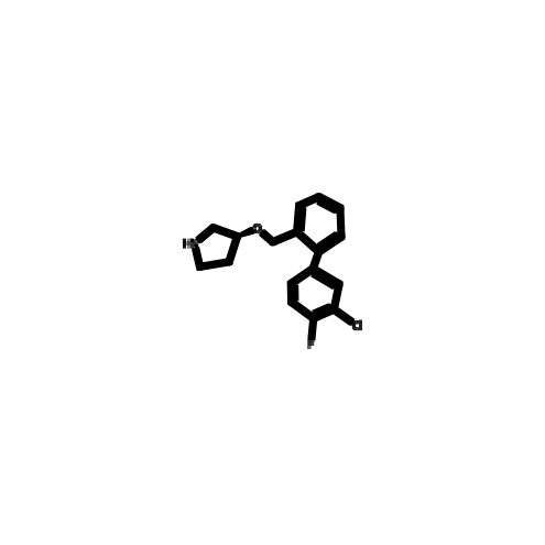 Fc1ccc(-c2ccccc2CO[C@H]2CCNC2)cc1Cl